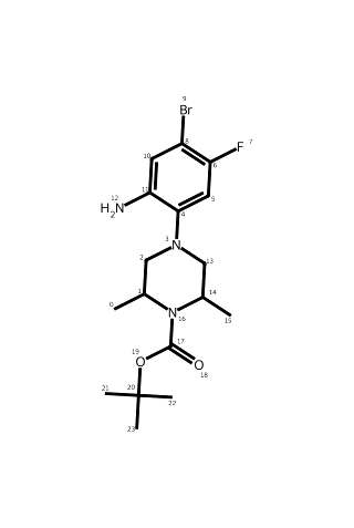 CC1CN(c2cc(F)c(Br)cc2N)CC(C)N1C(=O)OC(C)(C)C